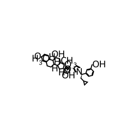 C[C@]12C=CC(=O)C=C1CC[C@@H]1[C@@H]2[C@@H](O)C[C@@]2(C)[C@H]1C[C@H]1O[C@@H](c3ccn([C@H](CC4CC4)c4cccc(CO)c4)c3)O[C@]12C(=O)CO